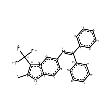 Cc1nc2ccc(N=C(c3ccccc3)c3ccccc3)cn2c1C(F)(F)F